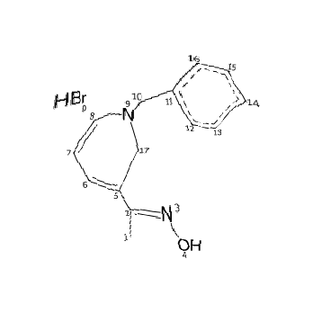 Br.CC(=NO)C1=CC=CN(Cc2ccccc2)C1